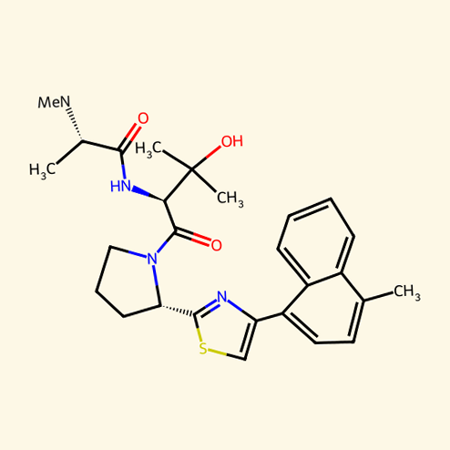 CN[C@@H](C)C(=O)N[C@H](C(=O)N1CCC[C@H]1c1nc(-c2ccc(C)c3ccccc23)cs1)C(C)(C)O